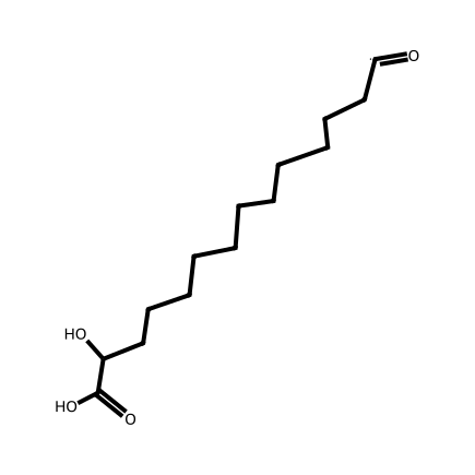 O=[C]CCCCCCCCCCCC(O)C(=O)O